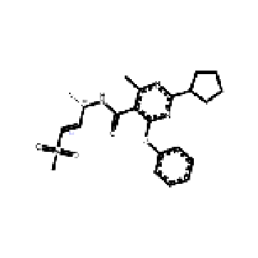 Cc1nc(C2CCCC2)nc(Oc2ccccc2)c1C(=O)N[C@@H](C)/C=C/S(C)(=O)=O